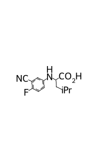 CC(C)CC(Nc1ccc(F)c(C#N)c1)C(=O)O